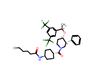 C[C@@H](O[C@H]1CCN(C(=O)[C@H]2CC[C@H](NC(=O)CCCCCl)CC2)C[C@H]1c1ccccc1)c1cc(C(F)(F)F)cc(C(F)(F)F)c1